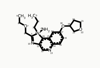 CCC[N+]1(N)C(COCC)=Nc2cnc3ccc(OC4CCOC4)cc3c21